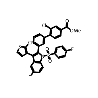 COC(=O)c1ccc(-c2cccc(-c3c(-c4ccsc4C#N)c4cc(F)ccc4n3S(=O)(=O)c3ccc(F)cc3)c2)c(Cl)c1